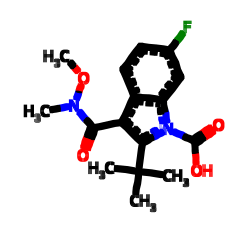 CON(C)C(=O)c1c(C(C)(C)C)n(C(=O)O)c2cc(F)ccc12